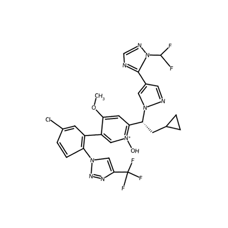 COc1cc([C@@H](CC2CC2)n2cc(-c3ncnn3C(F)F)cn2)[n+](O)cc1-c1cc(Cl)ccc1-n1cc(C(F)(F)F)nn1